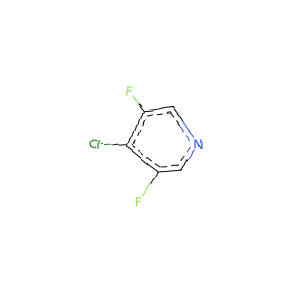 Fc1cncc(F)c1Cl